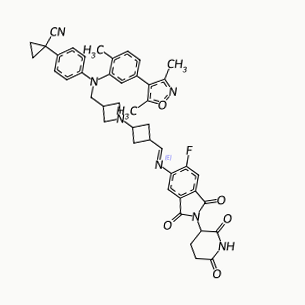 Cc1ccc(-c2c(C)noc2C)cc1N(CC1CN(C2CC(/C=N/c3cc4c(cc3F)C(=O)N(C3CCC(=O)NC3=O)C4=O)C2)C1)c1ccc(C2(C#N)CC2)cc1